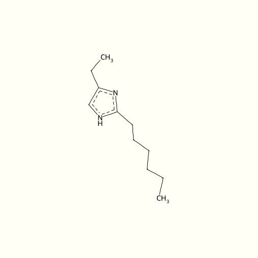 CCCCCCc1nc(CC)c[nH]1